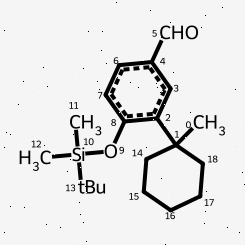 CC1(c2cc(C=O)ccc2O[Si](C)(C)C(C)(C)C)CCCCC1